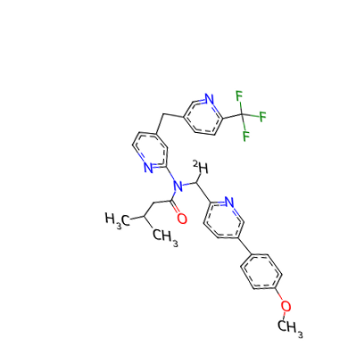 [2H]C(c1ccc(-c2ccc(OC)cc2)cn1)N(C(=O)CC(C)C)c1cc(Cc2ccc(C(F)(F)F)nc2)ccn1